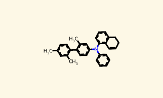 Cc1ccc(-c2ccc(N(c3ccccc3)c3cccc4c3C=CCC4)cc2C)c(C)c1